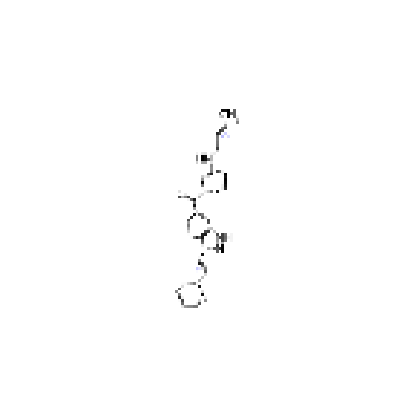 C/C=C/CNc1cccc(C(=O)c2ccc3c(/C=C/c4ccccn4)n[nH]c3c2)c1